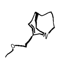 COCC1=CC2CCN1C2